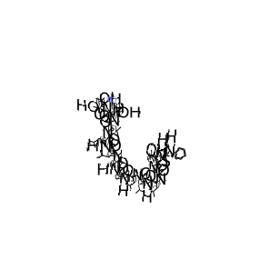 C/C=C/C[C@@H](C)[C@@H](O)[C@@H](C(=O)N[C@H](C(=O)O)[C@@H](C)O)N(C)C(=O)[C@H](C(C)C)N(C)C(=O)[C@H](CC(C)C)NC(=O)[C@H](CC(C)C)N(C)C(=O)[C@@H](C)NC(=O)[C@H](C)NC(=O)[C@H](CC(C)C)N(C)C(=O)[C@H](CC(C)C)NC(=O)[C@H](CC(C)C)N(C)C(=O)CN(C)C(=O)[C@@H](NC(=S)Nc1ccccc1)[C@@H](C)O